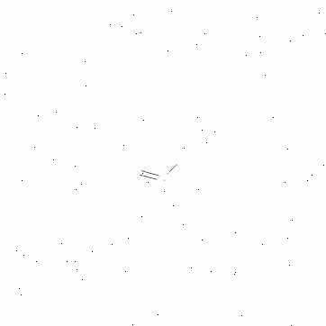 O=NO.[Sb]